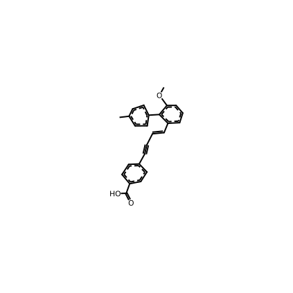 COc1cccc(C=CC#Cc2ccc(C(=O)O)cc2)c1-c1ccc(C)cc1